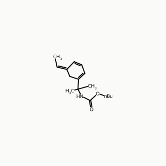 CC=C1C=CC=C(C(C)(C)NC(=O)OCCCC)C1